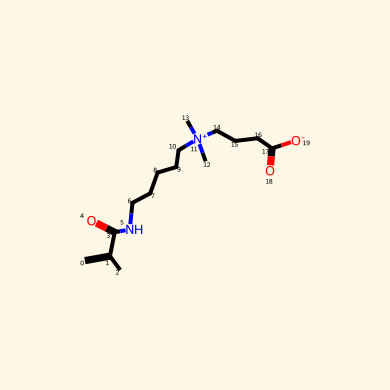 C=C(C)C(=O)NCCCCC[N+](C)(C)CCCC(=O)[O-]